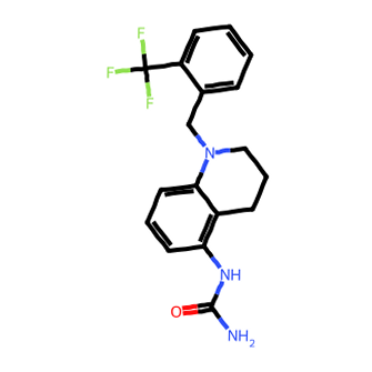 NC(=O)Nc1cccc2c1CCCN2Cc1ccccc1C(F)(F)F